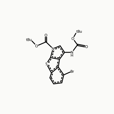 CC(C)(C)OC(=O)Nc1cn(C(=O)OC(C)(C)C)c2sc3cccc(Br)c3c12